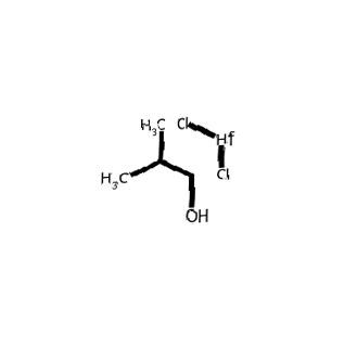 CC(C)CO.[Cl][Hf][Cl]